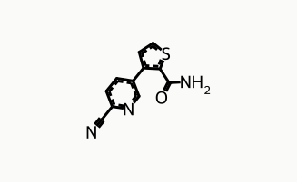 N#Cc1ccc(-c2ccsc2C(N)=O)cn1